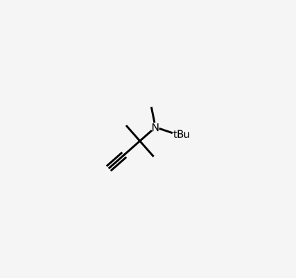 C#CC(C)(C)N(C)C(C)(C)C